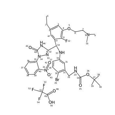 CCc1cc(OCCN(C)C)c(F)c(C(Nc2ccc(Br)c(CNC(=O)OC(C)(C)C)c2)c2nn(-c3ccccc3[N+](=O)[O-])c(=O)[nH]2)c1.O=C(O)C(F)(F)F